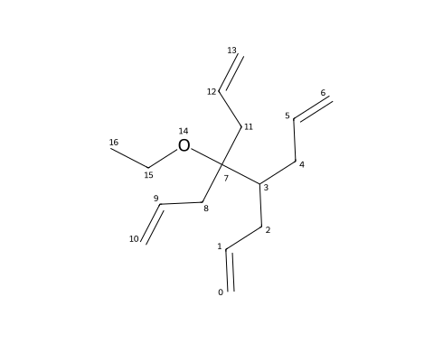 C=CCC(CC=C)C(CC=C)(CC=C)OCC